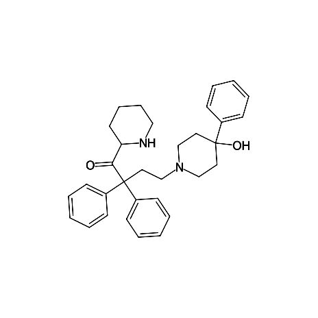 O=C(C1CCCCN1)C(CCN1CCC(O)(c2ccccc2)CC1)(c1ccccc1)c1ccccc1